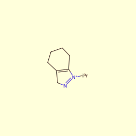 CC(C)[N+]1=NCC2=C1CCCC2